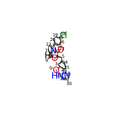 COc1cc(C=C2O[C@@H](C)[C@H]3CC[C@@H](c4ccc(Cl)cc4)N3C2=O)ccc1-c1nc(C)c[nH]1